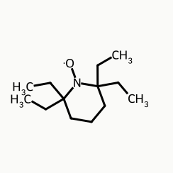 CCC1(CC)CCCC(CC)(CC)N1[O]